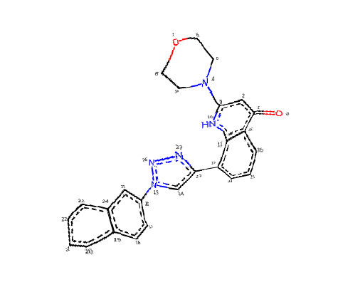 O=c1cc(N2CCOCC2)[nH]c2c(-c3cn(-c4ccc5ccccc5c4)nn3)cccc12